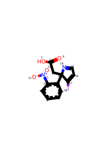 O=C(O)CC1(c2ccccc2[N+](=O)[O-])N=CC=C1I